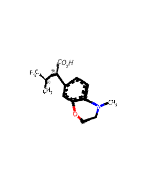 C[C@H]([C@@H](C(=O)O)c1ccc2c(c1)OCCN2C)C(F)(F)F